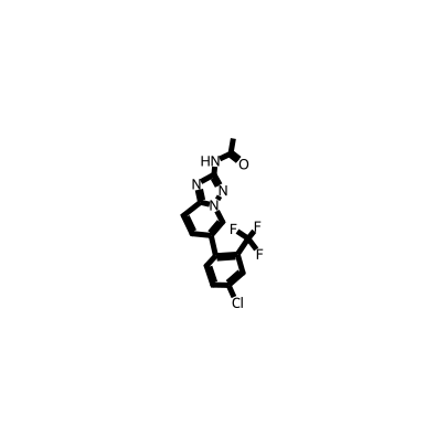 CC(=O)Nc1nc2ccc(-c3ccc(Cl)cc3C(F)(F)F)cn2n1